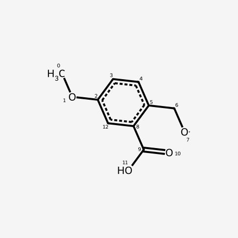 COc1ccc(C[O])c(C(=O)O)c1